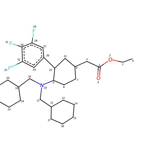 CCOC(=O)CC1CCC(N(CC2CCCCC2)CC2CCCCC2)C(c2cc(F)c(F)c(F)c2)C1